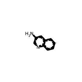 Nc1cnc2cc[c]cc2c1